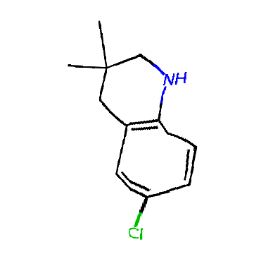 CC1(C)CNc2ccc(Cl)cc2C1